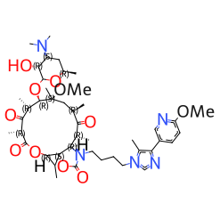 COc1ccc(-c2ncn(CCCCN3C(=O)O[C@]45C(C)[C@H]4OC(=O)[C@H](C)C(=O)[C@H](C)[C@@H](OC4O[C@H](C)C[C@H](N(C)C)[C@H]4O)[C@@](C)(OC)C[C@@H](C)C(=O)[C@H](C)[C@@H]35)c2C)cn1